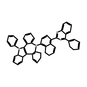 C1=CCCC(c2nc(-c3ccc(N4C5=C(C=CCC5)C5=C(c6ccccc64)N(c4ccccc4)C4C=CC=CC54)c4c3C=CCC4)nc3ccccc23)=C1